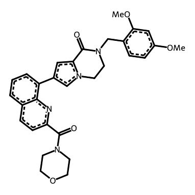 COc1ccc(CN2CCn3cc(-c4cccc5ccc(C(=O)N6CCOCC6)nc45)cc3C2=O)c(OC)c1